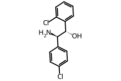 N[C@H](c1ccc(Cl)cc1)[C@@H](O)c1ccccc1Cl